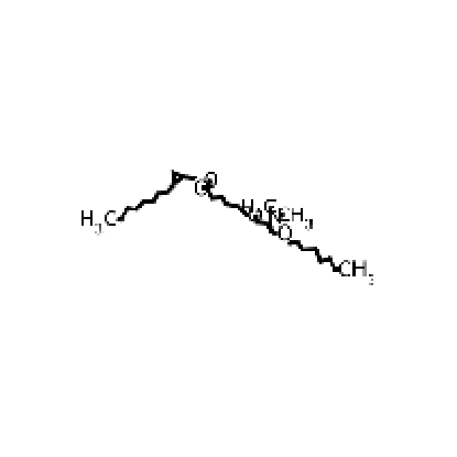 CCCCCCCCOCC(COCCCCCC(=O)OCC1CC1CCCCCCCC)N(C)C